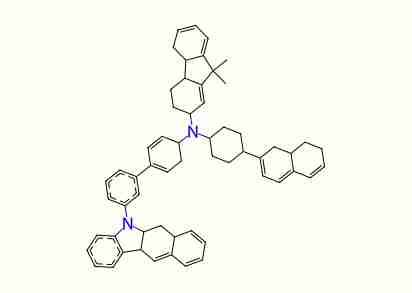 CC1(C)C2=CC=CCC2C2CCC(N(C3C=CC(c4cccc(N5c6ccccc6C6C=C7C=CC=CC7CC65)c4)=CC3)C3CCC(C4=CC=C5C=CCCC5C4)CC3)C=C21